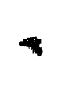 CC1CCC(Cn2c(N3[C@H](C)CN(C(=O)C4(C)COC4)C[C@H]3C)nc3cc(-c4noc(=O)[nH]4)nc(-c4cncc(Cl)c4)c32)CC1